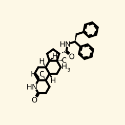 C[C@]12CC[C@H]3[C@@H](CC=C4NC(=O)CC[C@@]43C)[C@@H]1CC[C@@H]2C(=O)N[C@@H](Cc1ccccc1)c1ccccc1